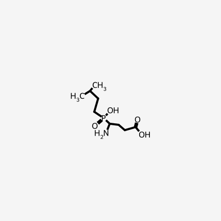 CC(C)CCP(=O)(O)C(N)CCC(=O)O